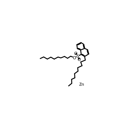 CCCCCCCCCCOS(=O)(=O)c1c(CCCCCCCCCC)ccc2ccccc12.[Zn]